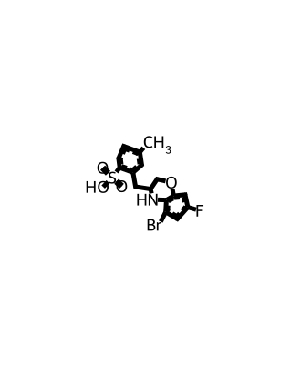 Cc1ccc(S(=O)(=O)O)c(CC2COc3cc(F)cc(Br)c3N2)c1